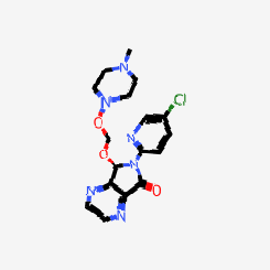 CN1CCN(OCO[C@@H]2c3nccnc3C(=O)N2c2ccc(Cl)cn2)CC1